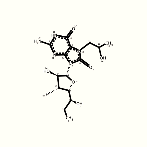 CC[C@H](O)[C@H]1O[C@@H](n2c(=O)n(CC(C)O)c3c(=O)[nH]c(N)nc32)[C@H](O)[C@H]1F